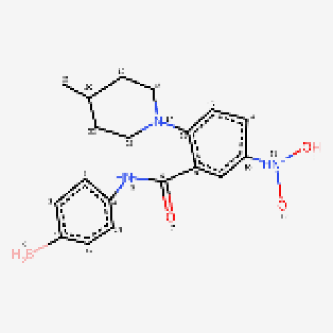 Bc1ccc(NC(=O)c2cc([NH+]([O-])O)ccc2N2CCC(C)CC2)cc1